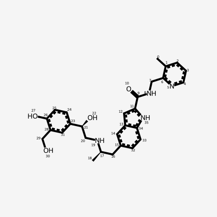 Cc1cccnc1CNC(=O)c1cc2cc(C[C@@H](C)NC[C@H](O)c3ccc(O)c(CO)c3)ccc2[nH]1